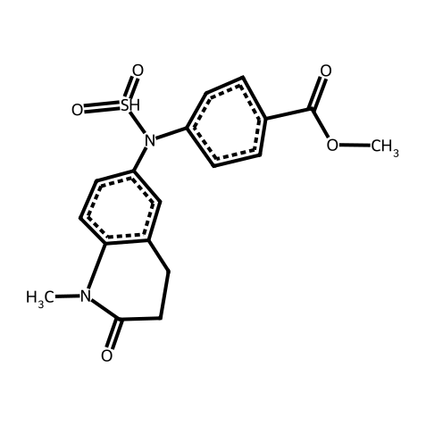 COC(=O)c1ccc(N(c2ccc3c(c2)CCC(=O)N3C)[SH](=O)=O)cc1